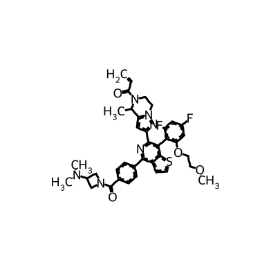 C=CC(=O)N1CCn2nc(-c3nc(-c4ccc(C(=O)N5CC(N(C)C)C5)cc4)c4ccsc4c3-c3c(F)cc(F)cc3OCCOC)cc2C1C